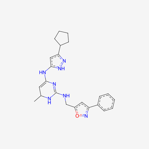 CC1C=C(Nc2cc(C3CCCC3)n[nH]2)N=C(NCc2cc(-c3ccccc3)no2)N1